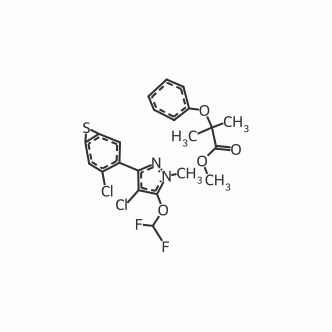 COC(=O)C(C)(C)Oc1ccccc1.Cn1nc(-c2cc3c(cc2Cl)S3)c(Cl)c1OC(F)F